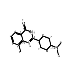 Cc1cccc2c(=O)[nH]c(C3CCC(N(C)C)CC3)nc12